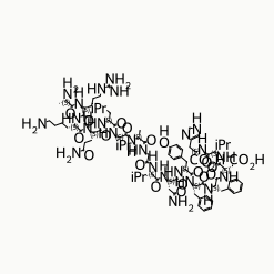 CC(C)C[C@H](NC(=O)[C@H](CCC(N)=O)NC(=O)[C@H](CCCCN)NC(=O)[C@H](CCCNC(=N)N)NC(=O)[C@H](C)N)C(=O)N[C@H](C(=O)N[C@@H](C)C(=O)NCC(=O)N[C@H](C(=O)N[C@@H](CC(N)=O)C(=O)N[C@@H](Cc1ccc(O)cc1)C(=O)N[C@@H](Cc1ccccc1)C(=O)N[C@@H](Cc1ccccc1)C(=O)N[C@@H](CC(=O)O)C(=O)N[C@H](C(=O)N[C@@H](Cc1c[nH]cn1)C(=O)O)C(C)C)C(C)C)C(C)C